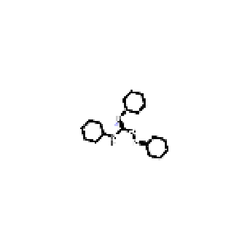 C1CCC(=NO/C(=N\C2CCCCC2)NC2CCCCC2)CC1